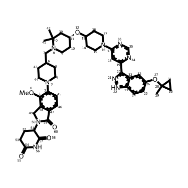 COc1c(N2CCC(CN3CC[C@@H](OC4CCN(c5cc(-c6n[nH]c7ccc(OC8(C)CC8)cc67)ncn5)CC4)CC3(C)C)CC2)ccc2c1CN(C1CCC(=O)NC1=O)C2=O